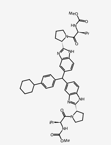 COC(=O)N[C@H](C(=O)N1CCC[C@H]1c1nc2cc(C(c3ccc(C4CCCCC4)cc3)c3ccc4[nH]c([C@@H]5CCCN5C(=O)[C@@H](NC(=O)OC)C(C)C)nc4c3)ccc2[nH]1)C(C)C